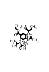 CCOC(=O)C1=C[C@@H](OC(CC)CC)[C@H](NC(C)=O)[C@@H](N)C1.N=C(N)NC(=O)O